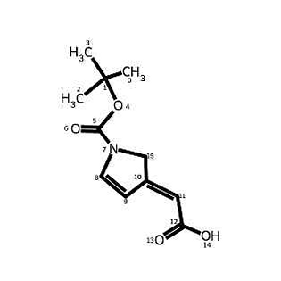 CC(C)(C)OC(=O)N1C=CC(=CC(=O)O)C1